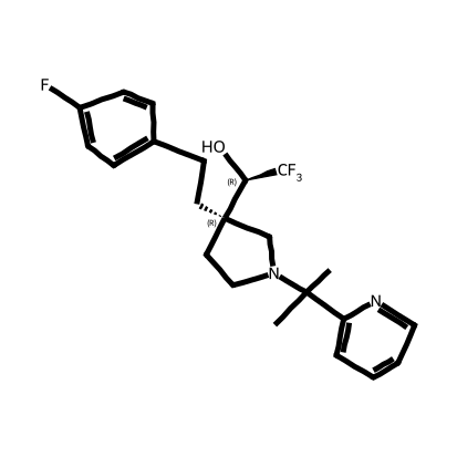 CC(C)(c1ccccn1)N1CC[C@@](CCc2ccc(F)cc2)([C@@H](O)C(F)(F)F)C1